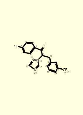 O=C(c1ccc(F)cc1)C(Cc1cccc(C(F)(F)F)c1)n1cncn1